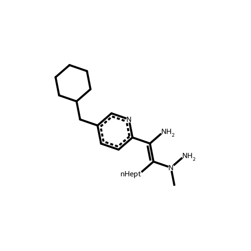 CCCCCCC/C(=C(/N)c1ccc(CC2CCCCC2)cn1)N(C)N